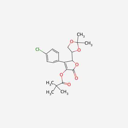 CC1(C)OCC(C2OC(=O)C(OC(=O)C(C)(C)C)=C2c2ccc(Cl)cc2)O1